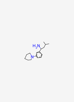 CC(C)CC(N)c1cccc(N2CCCCC2)c1